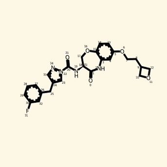 O=C1Nc2cc(OCCC3COC3)ccc2OC[C@@H]1NC(=O)n1cc(Cc2cccc(F)c2)cn1